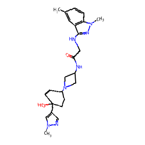 Cc1ccc2c(c1)c(NCC(=O)NC1CN(C3CCC(O)(c4cnn(C)c4)CC3)C1)nn2C